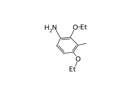 CCOc1ccc(N)c(OCC)c1C